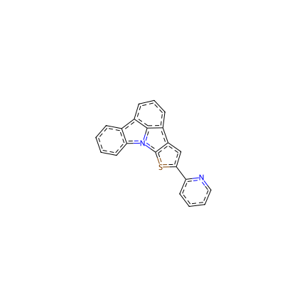 c1ccc(-c2cc3c4cccc5c6ccccc6n(c3s2)c54)nc1